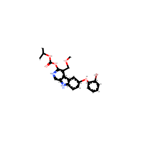 COCc1c(OC(=O)OC(C)C)ncc2[nH]c3ccc(Oc4ccccc4Br)cc3c12